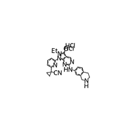 CCn1c(=O)c2cnc(Nc3ccc4c(c3)CNCC4)nc2n1-c1cccc(C2(C#N)CC2)n1.Cl.Cl